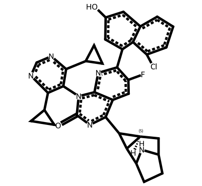 O=c1nc(C2C3C4CCC(C[C@H]23)N4)c2cc(F)c(-c3cc(O)cc4cccc(Cl)c34)nc2n1-c1c(C2CC2)ncnc1C1CC1